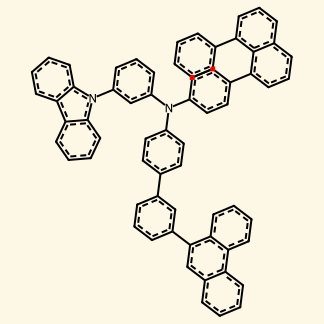 c1ccc(-c2cccc3cccc(-c4ccc(N(c5ccc(-c6cccc(-c7cc8ccccc8c8ccccc78)c6)cc5)c5cccc(-n6c7ccccc7c7ccccc76)c5)cc4)c23)cc1